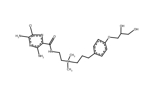 C[N+](C)(CCCc1ccc(OCC(O)CO)cc1)CCNC(=O)c1nc(Cl)c(N)nc1N